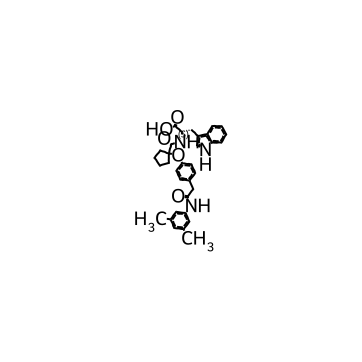 Cc1cc(C)cc(NC(=O)Cc2ccc(OC3(C(=O)N[C@@H](Cc4c[nH]c5ccccc45)C(=O)O)CCCC3)cc2)c1